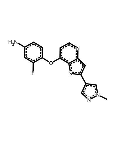 Cn1cc(-c2cc3nccc(Oc4ccc(N)cc4F)c3s2)cn1